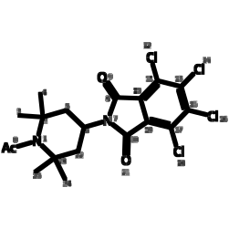 CC(=O)N1C(C)(C)CC(N2C(=O)c3c(Cl)c(Cl)c(Cl)c(Cl)c3C2=O)CC1(C)C